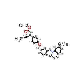 CC#C[C@@H](CC(=O)OC=O)c1ccc(OCc2cccc(CN3CCCc4ccc(OC)cc43)c2)cc1